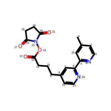 Cc1ccnc(-c2cc(CCCC(=O)ON3C(=O)CCC3=O)ccn2)c1